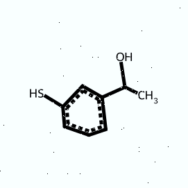 CC(O)c1cccc(S)c1